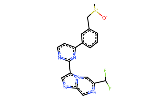 C[S+]([O-])Cc1cccc(-c2ccnc(-c3cnc4cnc(C(F)F)cn34)n2)c1